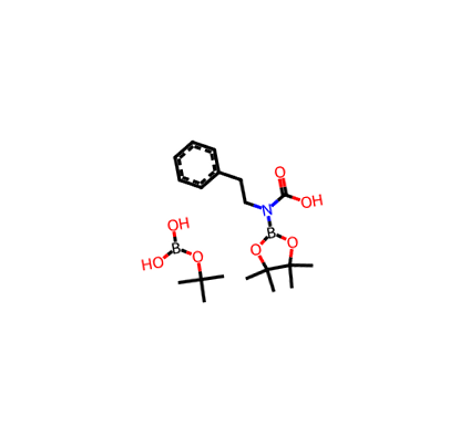 CC(C)(C)OB(O)O.CC1(C)OB(N(CCc2ccccc2)C(=O)O)OC1(C)C